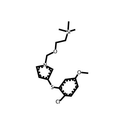 COc1ccc(Cl)c(Sc2ccn(COCC[Si](C)(C)C)c2)c1